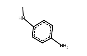 CNc1ccc(N)cc1